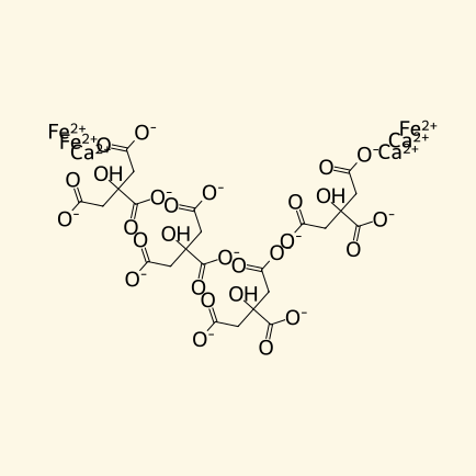 O=C([O-])CC(O)(CC(=O)[O-])C(=O)[O-].O=C([O-])CC(O)(CC(=O)[O-])C(=O)[O-].O=C([O-])CC(O)(CC(=O)[O-])C(=O)[O-].O=C([O-])CC(O)(CC(=O)[O-])C(=O)[O-].[Ca+2].[Ca+2].[Ca+2].[Fe+2].[Fe+2].[Fe+2]